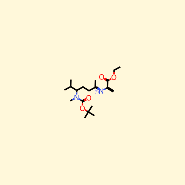 C=C(/N=C(\C)CCC(C(C)C)N(C)C(=O)OC(C)(C)C)C(=O)OCC